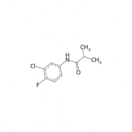 CC(C)C(=O)Nc1ccc(F)c(Cl)c1